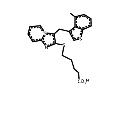 Cc1cccc2scc(Cc3c(SCCCCC(=O)O)nc4ccccn34)c12